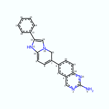 Nc1ncc2cc(C3=CC=C4NC(c5ccccc5)=CN4C3)ccc2n1